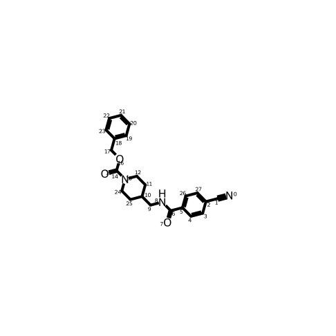 N#Cc1ccc(C(=O)NCC2CCN(C(=O)OCc3ccccc3)CC2)cc1